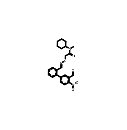 CN(C(=O)CON=Cc1ccccc1-c1ccc([N+](=O)[O-])c(C=O)c1)C1CCCCC1